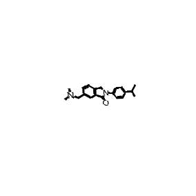 CC(C)c1ccc(N2Cc3ccc(CN(C)C)cc3C2=O)cc1